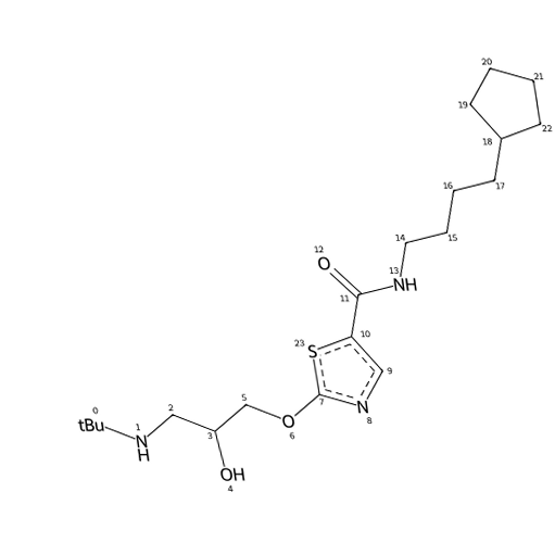 CC(C)(C)NCC(O)COc1ncc(C(=O)NCCCCC2CCCC2)s1